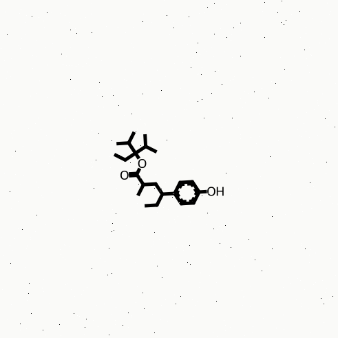 CCC(CC(C)C(=O)OC(CC)(C(C)C)C(C)C)c1ccc(O)cc1